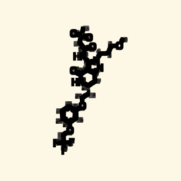 COCCCn1nc2c(c1NC(=O)CS(C)(=O)=O)C(=O)N[C@@H](CCOc1cccc(OCC(F)(F)F)c1)C2